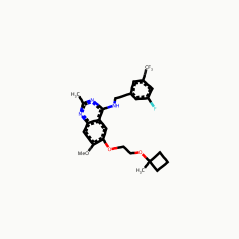 COc1cc2nc(C)nc(NCc3cc(F)cc(C(F)(F)F)c3)c2cc1OCCOC1(C)CCC1